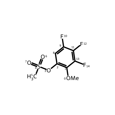 COc1c(OS(C)(=O)=O)cc(F)c(F)c1F